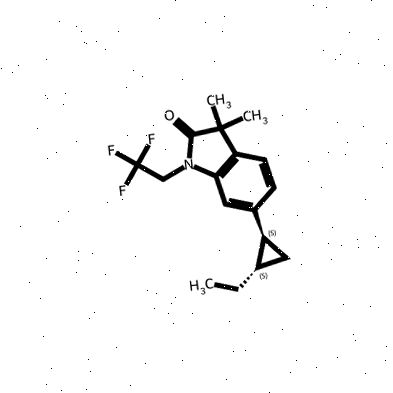 CC[C@H]1C[C@@H]1c1ccc2c(c1)N(CC(F)(F)F)C(=O)C2(C)C